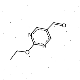 CCOc1ncc(C=O)cn1